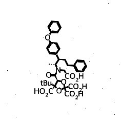 C[C@H]([C@H](CCc1ccccc1)c1ccc(Oc2ccccc2)cc1)N(CC(=O)O)C(=O)[C@H]1OC(C(=O)O)(C(=O)O)O[C@@]1(C(=O)O)C(C)(C)C